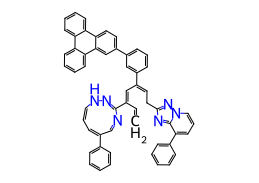 C=C/C(=C\C(=C/Cc1nc2c(-c3ccccc3)cccn2n1)c1cccc(-c2ccc3c4ccccc4c4ccccc4c3c2)c1)c1ncc(-c2ccccc2)ccc[nH]n1